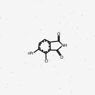 CCCc1ccc2c(c1Cl)C(=O)NC2=O